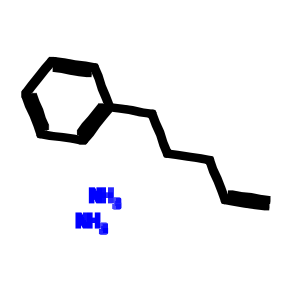 C=CCCCc1ccccc1.N.N